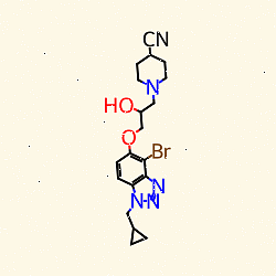 N#CC1CCN(CC(O)COc2ccc3c(nnn3CC3CC3)c2Br)CC1